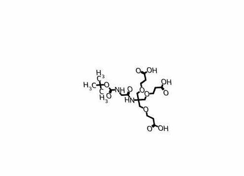 CC(C)(C)OC(=O)NCC(=O)NC(COCCC(=O)O)(COCCC(=O)O)COCCC(=O)O